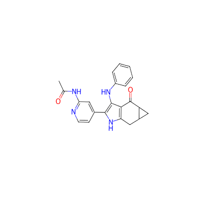 CC(=O)Nc1cc(-c2[nH]c3c(c2Nc2ccccc2)C(=O)C2CC2C3)ccn1